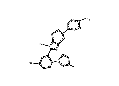 Cc1ccn(-c2ccc(C#N)cc2-c2nc3cc(-c4cnc(N)nc4)ccc3n2C(C)(C)C)n1